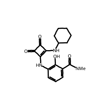 CNC(=O)c1cccc(Nc2c(NC3CCCCC3)c(=O)c2=O)c1O